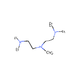 CCN(CC)CCN([C]=O)CCN(CC)CC